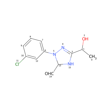 CC(O)C1=NN(c2cccc(Cl)c2)C(C=O)N1